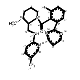 C[C@@H]1CCCN(C(=O)c2c(F)cccc2-c2ncccn2)C1CNc1ccc(C(F)(F)F)cn1